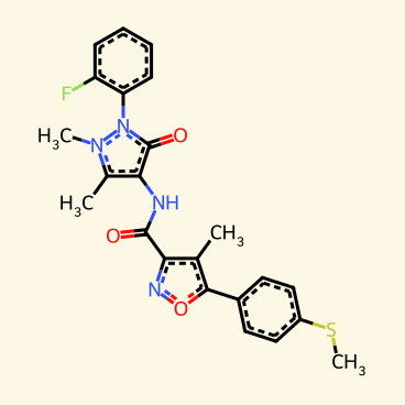 CSc1ccc(-c2onc(C(=O)Nc3c(C)n(C)n(-c4ccccc4F)c3=O)c2C)cc1